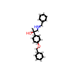 CC(O)(CNCc1ccccc1)c1ccc(OCc2ccccc2)cc1